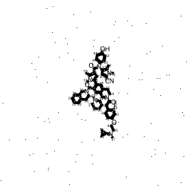 Cc1c(N(C(=O)c2cc(-c3cc4c(cc3C(=O)N3Cc5ccccc5C[C@H]3CN3CCCCC3)CN(C(=O)Cc3ccc(OCCN(C)C5CC5)cc3F)CC4)n(C)c2C)c2ccc(O)cc2)cc(C#N)n1C